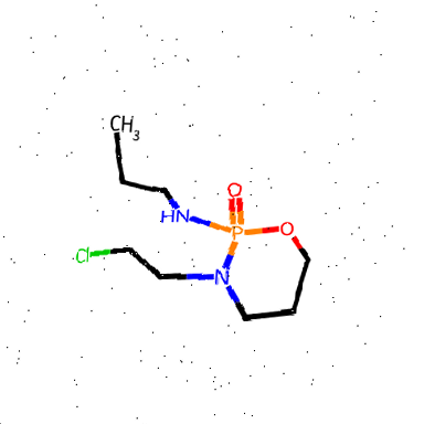 CCCNP1(=O)OCCCN1CCCl